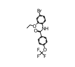 CCOc1cc(Br)ccc1NC(=O)c1ccc(OC(F)(F)F)cc1